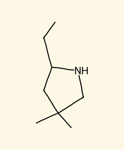 CCC1CC(C)(C)CN1